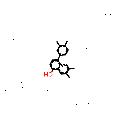 Cc1ccc(-c2ccc(O)c3cc(C)c(C)cc23)cc1C